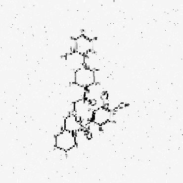 O=C(COCC1CCCCN1S(=O)(=O)c1ccc(Cl)c(Cl)c1)N1CCN(c2ccccc2F)CC1